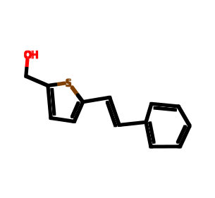 OCc1ccc(C=Cc2ccccc2)s1